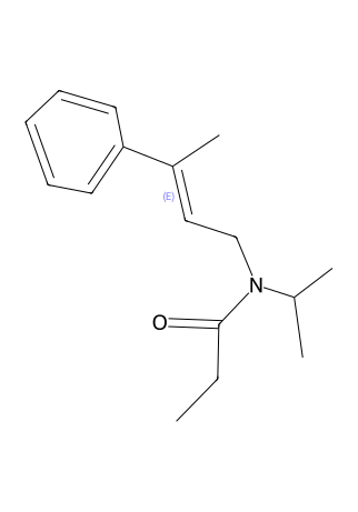 CCC(=O)N(C/C=C(\C)c1ccccc1)C(C)C